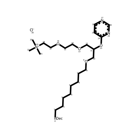 CCCCCCCCCCCCCCCCCCOCC(COCCOCC[N+](C)(C)C)Oc1ccncn1.[Cl-]